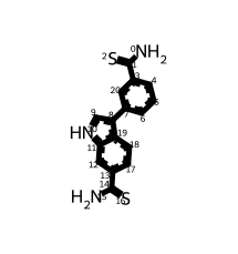 NC(=S)c1cccc(-c2c[nH]c3cc(C(N)=S)ccc23)c1